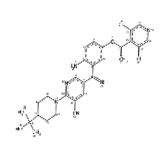 C[C@@H](Oc1ccc(N)c(C(=N)c2cnc(N3CCC(C(C)(C)O)CC3)c(C#N)c2)c1)c1c(Cl)cncc1Cl